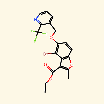 CCOC(=O)c1c(C)oc2ccc(OCc3cccnc3C(F)(F)F)c(Br)c12